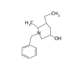 CCC1CC(O)CN(Cc2ccccc2)C1C